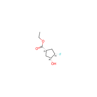 CCOC(=O)[C@H]1C[C@@H](O)[C@@H](F)C1